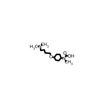 CN(C)CCCCOC1CCC(N(C)C(=O)O)CC1